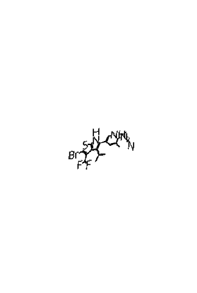 C/C(=C/C(=C\N)c1[nH]c2sc(Br)c(C(F)F)c2c1C(C)C)CN(C)C#N